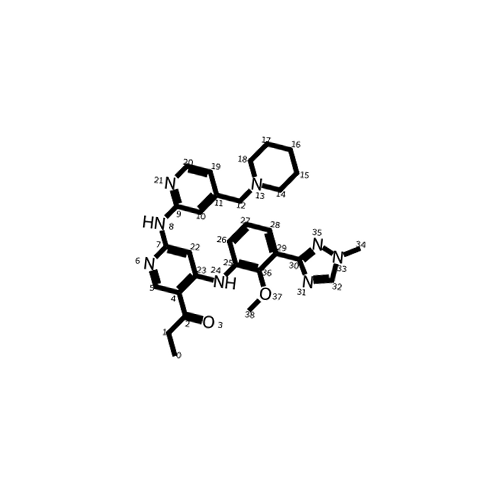 CCC(=O)c1cnc(Nc2cc(CN3CCCCC3)ccn2)cc1Nc1cccc(-c2ncn(C)n2)c1OC